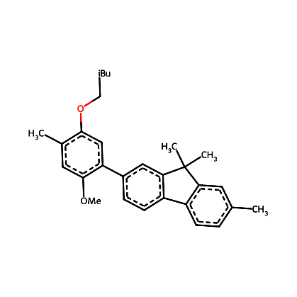 CCC(C)COc1cc(-c2ccc3c(c2)C(C)(C)c2cc(C)ccc2-3)c(OC)cc1C